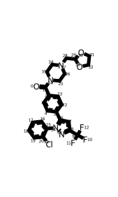 O=C(c1ccc(-c2cc(C(F)(F)F)nn2-c2ccccc2Cl)cc1)N1CCN(CC2OCCO2)CC1